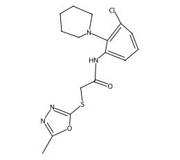 Cc1nnc(SCC(=O)Nc2cccc(Cl)c2N2CCCCC2)o1